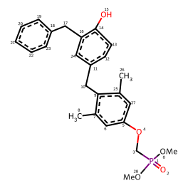 COP(=O)(COc1cc(C)c(Cc2ccc(O)c(Cc3ccccc3)c2)c(C)c1)OC